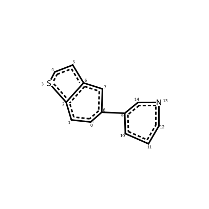 [c]1cc2sccc2cc1-c1cccnc1